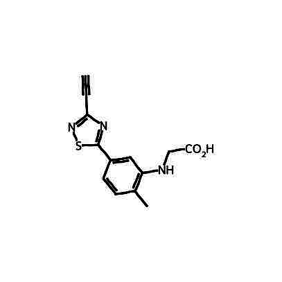 C#Cc1nsc(-c2ccc(C)c(NCC(=O)O)c2)n1